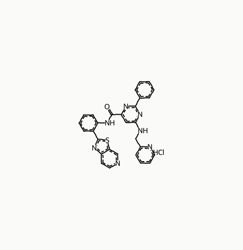 Cl.O=C(Nc1ccccc1-c1nc2ccncc2s1)c1cc(NCc2ccccn2)nc(-c2ccccc2)n1